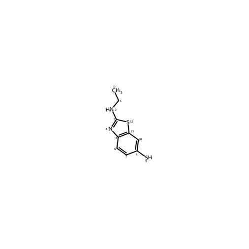 CCNc1nc2ccc(S)cc2s1